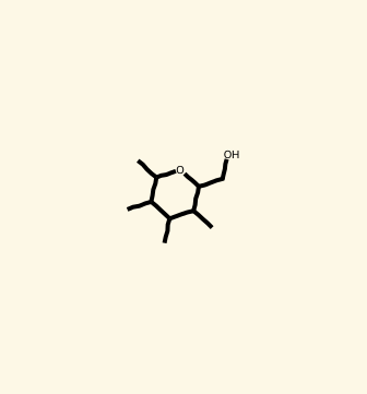 CC1OC(CO)C(C)C(C)C1C